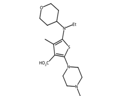 CCN(c1sc(N2CCN(C)CC2)c(C(=O)O)c1C)C1CCOCC1